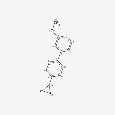 FC(F)(F)Oc1cccc(-c2c[c]c(C3CC3)cc2)c1